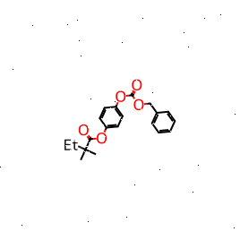 CCC(C)(C)C(=O)Oc1ccc(OC(=O)OCc2ccccc2)cc1